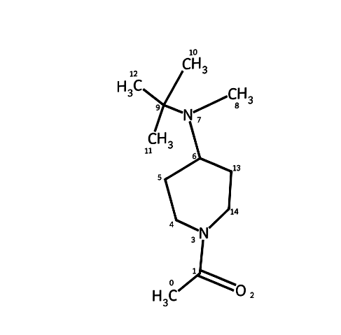 CC(=O)N1CCC(N(C)C(C)(C)C)CC1